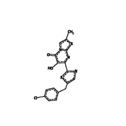 Cc1cn2c(=O)c(O)c(-c3ncc(Cc4ccc(Cl)cc4)s3)nc2s1